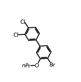 CCCOc1cc(-c2ccc(Cl)c(Cl)c2)ccc1Br